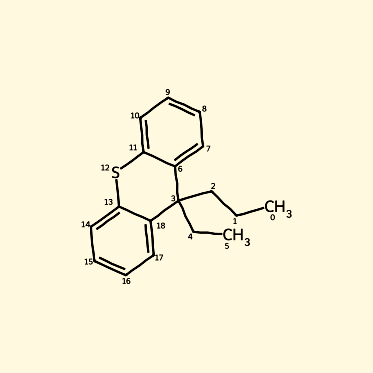 CCCC1(CC)c2ccccc2Sc2ccccc21